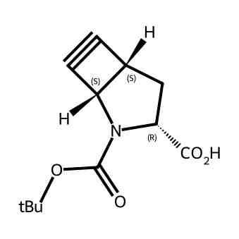 CC(C)(C)OC(=O)N1[C@@H](C(=O)O)C[C@H]2C#C[C@H]21